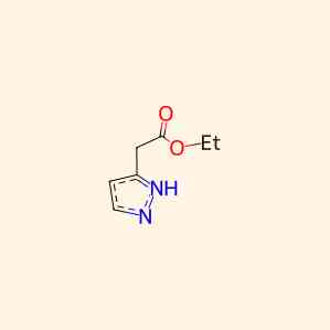 CCOC(=O)Cc1ccn[nH]1